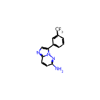 Nc1ccc2ncc(-c3cccc(C(F)(F)F)c3)n2n1